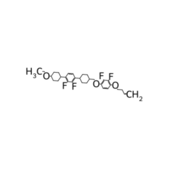 C=CCCOc1ccc(OCC2CCC(c3ccc(C4CCC(OCC)CC4)c(F)c3F)CC2)c(F)c1F